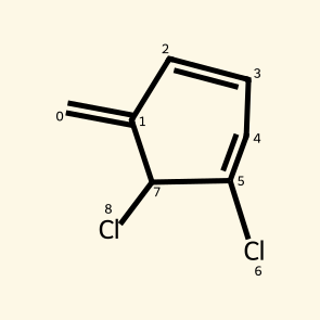 C=C1C=CC=C(Cl)C1Cl